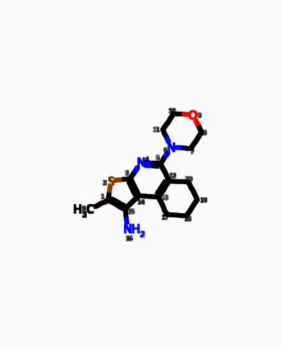 Cc1sc2nc(N3CCOCC3)c3c(c2c1N)CCCC3